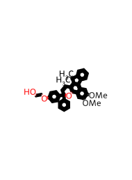 COc1cc2c3c(c4c(c2cc1OC)-c1ccccc1C4(C)C)C=CC(c1ccccc1)(c1ccc(OCCO)cc1)O3